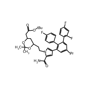 CC(C)c1cc(-c2cc(C(N)=O)n(CCC3CC(CC(=O)OC(C)(C)C)OC(C)(C)O3)c2)c(-c2ccc(F)cc2)c(-c2ccc(F)cc2F)c1